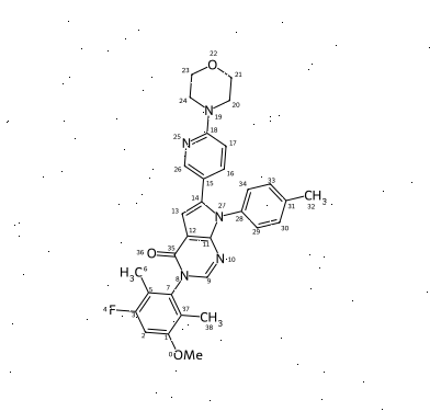 COc1cc(F)c(C)c(-n2cnc3c(cc(-c4ccc(N5CCOCC5)nc4)n3-c3ccc(C)cc3)c2=O)c1C